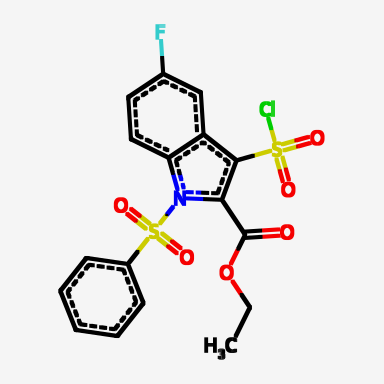 CCOC(=O)c1c(S(=O)(=O)Cl)c2cc(F)ccc2n1S(=O)(=O)c1ccccc1